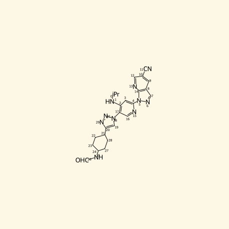 CC(C)Nc1cc(-n2ncc3cc(C#N)cnc32)ncc1-n1cc(C2CCC(NC=O)CC2)nn1